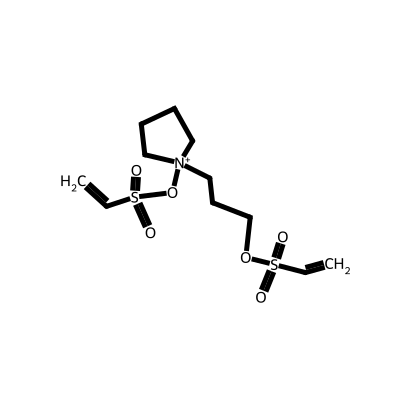 C=CS(=O)(=O)OCCC[N+]1(OS(=O)(=O)C=C)CCCC1